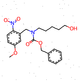 COc1ccc([N+](=O)[O-])c(CN(CCCCCO)C(=O)OCc2ccccc2)c1